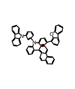 c1cc(N(c2ccc(-c3cccc4c3oc3ccccc34)cc2)c2ccccc2-c2cccc3c2ccc2ccccc23)cc(-n2c3ccccc3c3ccccc32)c1